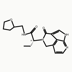 CC[C@H](C(=O)NCC1CCCO1)N1Cc2ccnc3[nH]cc(c23)C1=O